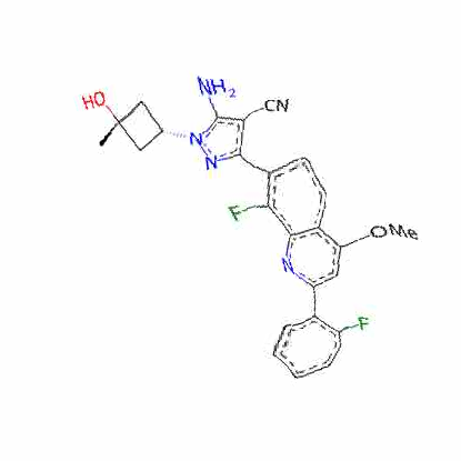 COc1cc(-c2ccccc2F)nc2c(F)c(-c3nn([C@H]4C[C@@](C)(O)C4)c(N)c3C#N)ccc12